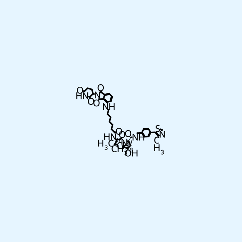 Cc1ncsc1-c1ccc(CNC(=O)[C@@H]2C[C@@H](O)CN2C(=O)[C@@H](NC(=O)CCCCCCNc2cccc3c2C(=O)N(C2CCC(=O)NC2=O)C3=O)C(C)(C)C)cc1